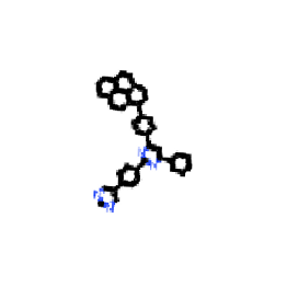 c1ccc(-c2cc(-c3ccc(-c4ccc5ccc6cccc7ccc4c5c67)cc3)nc(-c3ccc(-c4cncnc4)cc3)n2)cc1